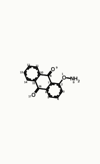 NOc1cccc2c1C(=O)c1ccccc1C2=O